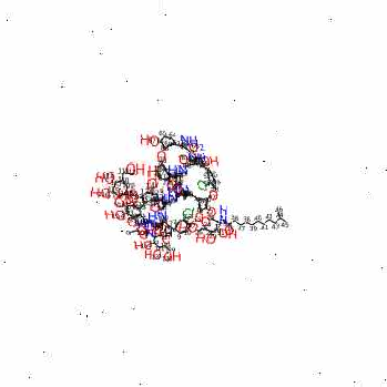 CCONC1C(O[C@@H]2c3ccc(c(Cl)c3)Oc3cc4cc(c3OC3OC(CO)C(O)C(O)C3NC(=O)CCCCCCCCC(C)C)Oc3ccc(cc3Cl)[C@@H](O)[C@H]3NC(=O)[C@H](N)c5ccc(O)c(c5)Oc5cc(O)cc(c5)[C@H](NC3=O)C(=O)N[C@H]4C(=O)N[C@H]3C(=O)N[C@@H]2C(=O)N[C@H](C(=O)O)c2cc(O)cc(OC4CC(CO)C(O)C(O)C4O)c2-c2cc3ccc2O)OC(CO)C(O)C1O